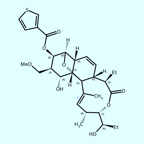 CC[C@@H](O)[C@H]1OC(=O)[C@H](CC)[C@H]2C=C[C@H]3[C@H]4O[C@]2(/C(C)=C/[C@H]1C)[C@@H]3[C@H](O)[C@@H](COC)[C@H]4OC(=O)c1ccsc1